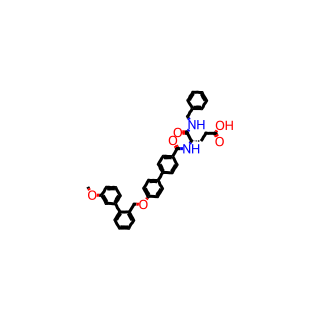 COc1cccc(-c2ccccc2COc2ccc(-c3ccc(C(=O)N[C@@H](CCC(=O)O)C(=O)NCc4ccccc4)cc3)cc2)c1